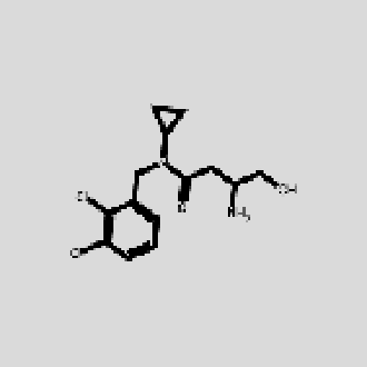 NC(CO)CC(=O)N(Cc1cccc(Cl)c1Cl)C1CC1